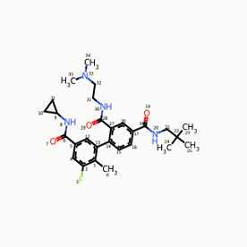 Cc1c(F)cc(C(=O)NC2CC2)cc1-c1ccc(C(=O)NCC(C)(C)C)cc1C(=O)NCCN(C)C